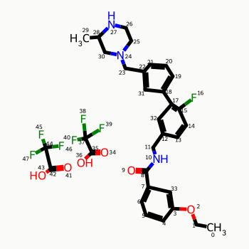 CCOc1cccc(C(=O)NCc2ccc(F)c(-c3cccc(CN4CCNC(C)C4)c3)c2)c1.O=C(O)C(F)(F)F.O=C(O)C(F)(F)F